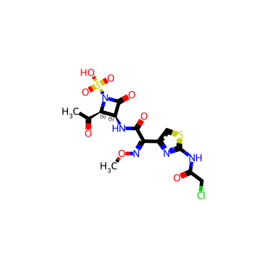 CON=C(C(=O)N[C@@H]1C(=O)N(S(=O)(=O)O)[C@@H]1C(C)=O)c1csc(NC(=O)CCl)n1